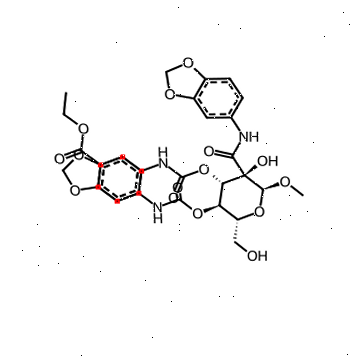 CCOC(=O)c1ccc(NC(=O)O[C@@H]2[C@@H](CO)O[C@H](OC)[C@@](O)(C(=O)Nc3ccc4c(c3)OCO4)[C@H]2OC(=O)Nc2ccc3c(c2)OCO3)cc1